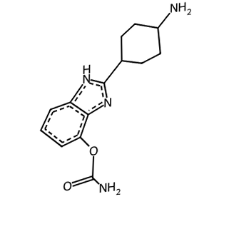 NC(=O)Oc1cccc2[nH]c(C3CCC(N)CC3)nc12